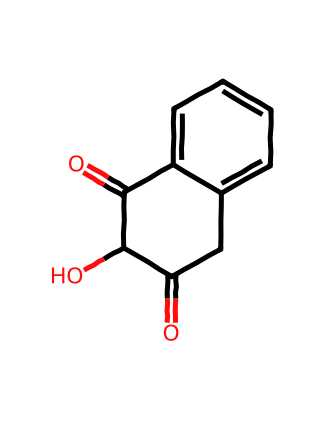 O=C1Cc2ccccc2C(=O)C1O